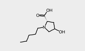 CCCCCN1CC(O)C[C@H]1C(=O)O